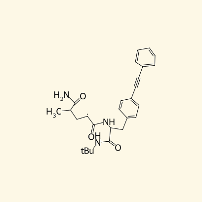 CC(C[CH]C(=O)NC(Cc1ccc(C#Cc2ccccc2)cc1)C(=O)NC(C)(C)C)C(N)=O